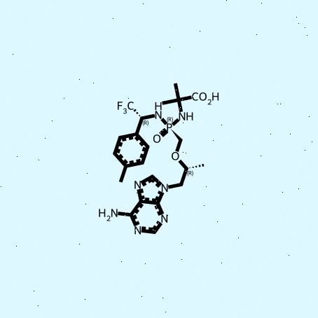 Cc1ccc([C@@H](N[P@](=O)(CO[C@H](C)Cn2cnc3c(N)ncnc32)NC(C)(C)C(=O)O)C(F)(F)F)cc1